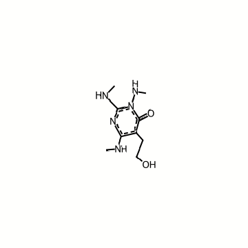 CNc1nc(NC)n(NC)c(=O)c1CCO